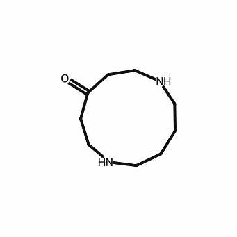 O=C1CCNCCCCNCC1